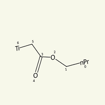 CCCCOC(=O)[CH2][Ti]